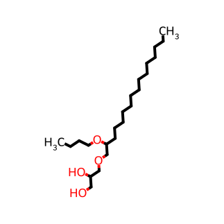 CCCCCCCCCCCCCCC(COCC(O)CO)OCCCC